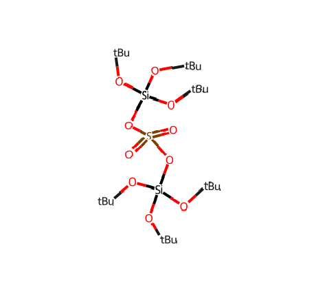 CC(C)(C)O[Si](OC(C)(C)C)(OC(C)(C)C)OS(=O)(=O)O[Si](OC(C)(C)C)(OC(C)(C)C)OC(C)(C)C